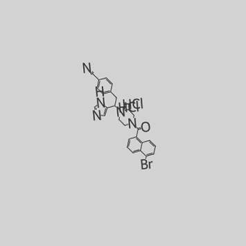 Cl.Cl.N#Cc1ccc(CC(c2cnc[nH]2)N2CCN(C(=O)c3cccc4c(Br)cccc34)CC2)cc1